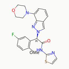 COc1ccc(F)cc1[C@H](C(=O)Nc1nccs1)n1cc2cccc(N3CCOCC3)c2n1